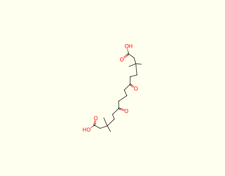 CC(C)(CCC(=O)CCCC(=O)CCC(C)(C)CC(=O)O)CC(=O)O